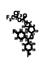 O=C(OC(C(F)(F)F)C(F)(F)F)N1CC2(CCC(OC(c3ccc(F)cc3)c3ccc(F)cc3)C2)C1